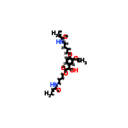 C=CC(=O)NCCCCOC(=O)C(O)c1ccc(OCCCCNC(=O)C=C)c(OC)c1